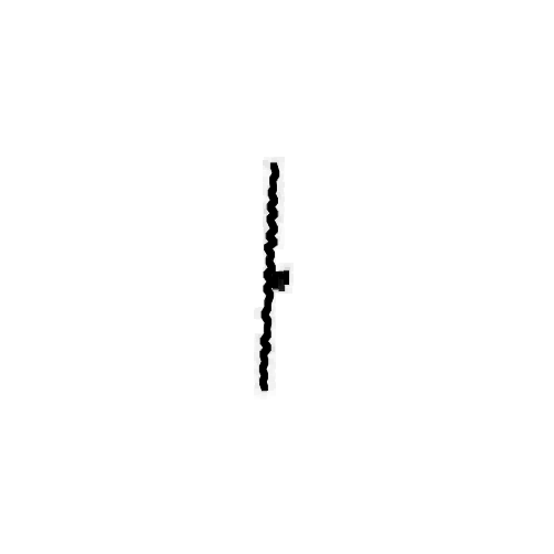 CCCCCCCCCCCCCCCCCC(CCCCCCCCCCCCCCCC)N(C)C.Cl